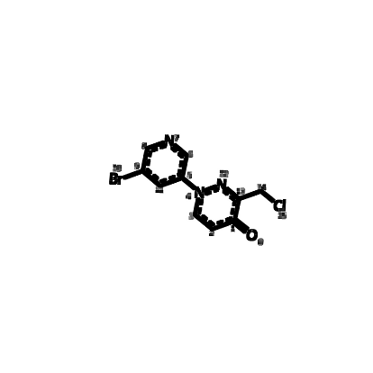 O=c1ccn(-c2cncc(Br)c2)nc1CCl